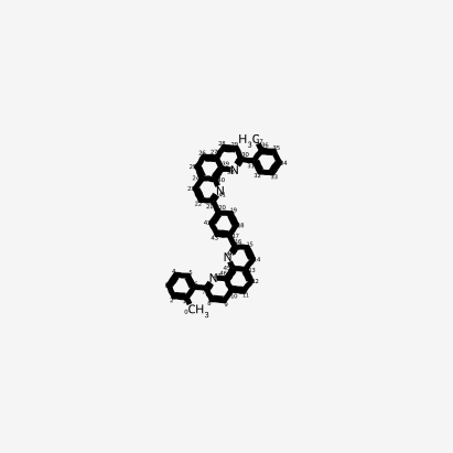 Cc1ccccc1-c1ccc2ccc3ccc(-c4ccc(-c5ccc6ccc7ccc(-c8ccccc8C)nc7c6n5)cc4)nc3c2n1